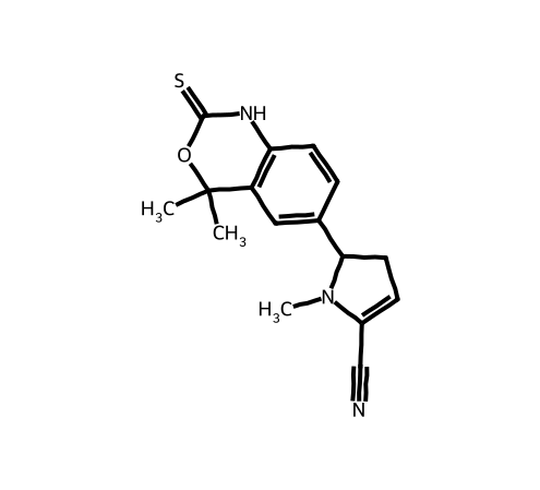 CN1C(C#N)=CCC1c1ccc2c(c1)C(C)(C)OC(=S)N2